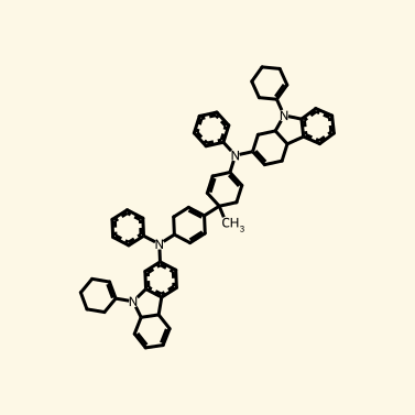 CC1(C2=CCC(N(c3ccccc3)c3ccc4c(c3)N(C3=CCCCC3)C3C=CC=CC43)C=C2)C=CC(N(C2=CCC3c4ccccc4N(C4=CCCCC4)C3C2)c2ccccc2)=CC1